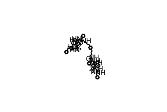 CC[C@H](NC)C(=O)N[C@@H]1C(=O)N2[C@@H](CC[C@@H]1CCNCc1ccccc1)CC[C@H]2C(=O)N[C@H](C(=O)NCCCCc1ccc(CCCCNC(=O)[C@@H](NC(=O)[C@@H]2CC[C@@H]3CC[C@H](CCNCc4ccccc4)[C@H](NC(=O)[C@H](CC)NC)C(=O)N32)c2ccccc2)cc1)c1ccccc1